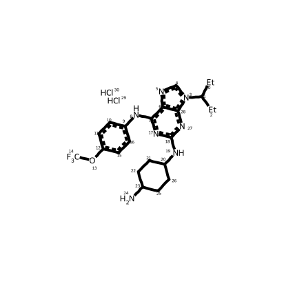 CCC(CC)n1cnc2c(Nc3ccc(OC(F)(F)F)cc3)nc(NC3CCC(N)CC3)nc21.Cl.Cl